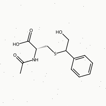 CC(=O)N[C@@H](CSC(CO)c1ccccc1)C(=O)O